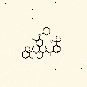 Cc1cccc(F)c1C(=O)N1CCC[C@H](C(=O)Nc2cccc(C(C)(C)C)c2)[C@@H]1c1ccc(NC2CCCCC2)c(F)c1